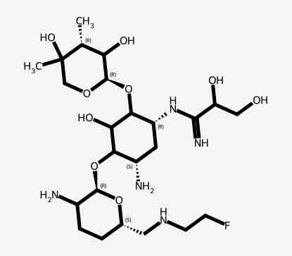 C[C@@H]1C(O)[C@@H](OC2C(O)C(O[C@H]3O[C@H](CNCCF)CCC3N)[C@@H](N)C[C@H]2NC(=N)C(O)CO)OCC1(C)O